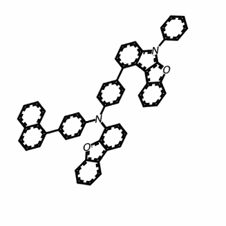 c1ccc(-n2c3cccc(-c4ccc(N(c5ccc(-c6cccc7ccccc67)cc5)c5cccc6c5oc5ccccc56)cc4)c3c3c4ccccc4oc32)cc1